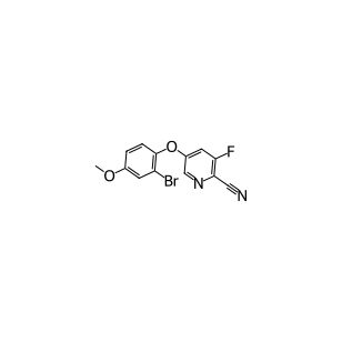 COc1ccc(Oc2cnc(C#N)c(F)c2)c(Br)c1